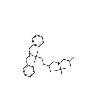 CC(C)CP(CC(C)CCC(C)(C)P(Cc1ccccc1)Cc1ccccc1)C(C)(C)C